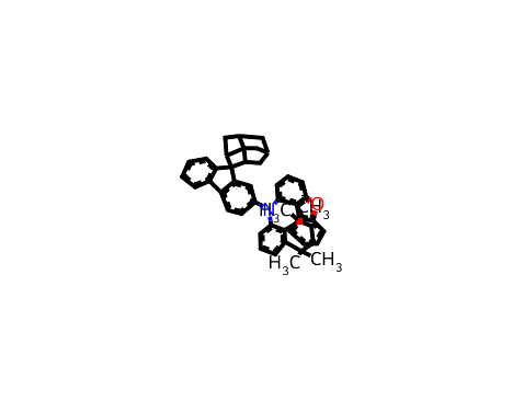 CC1(C)CCC(C)(C)c2c(N(c3ccc4c(c3)C3(c5ccccc5-4)C4CC5CC6CC3C64C5)c3cccc4oc5ccccc5c34)cccc21